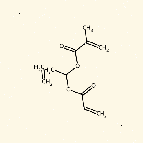 C=C.C=CC(=O)OC(C)OC(=O)C(=C)C